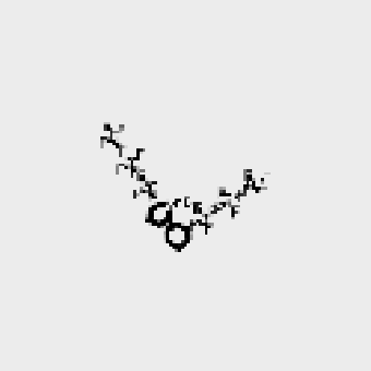 C1=CCCC=C1.CCCCN1C=CC=CC1.F[B-](F)(F)F.F[B-](F)(F)F.F[B-](F)(F)F.F[B-](F)(F)F.F[B-](F)(F)F.F[B-](F)(F)F